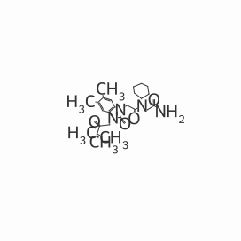 Cc1cc2c(cc1C)n(CC(=O)C(C)(C)C)c(=O)n2CC(=O)N(CC(N)=O)C1CCCCC1